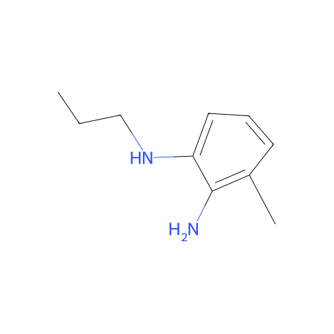 CCCNc1cccc(C)c1N